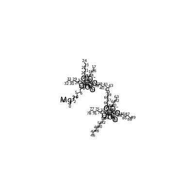 CCCCCCCCCC[C@]1([C@@](CCCCCC)(OCCCCCC)C(O)CCCCCC)OC(=O)C(OCCCCCC)=C1[O-].CCCCCCCCCC[C@]1([C@@](CCCCCC)(OCCCCCC)C(O)CCCCCC)OC(=O)C(OCCCCCC)=C1[O-].[Mg+2]